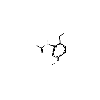 CCc1ccc(OC)cc1NC(C)=O